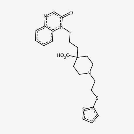 O=C(O)C1(CCCn2c(=O)cnc3ccccc32)CCN(CCSc2cccs2)CC1